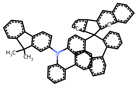 CC1(C)c2ccccc2-c2ccc(N(c3ccc4c(c3)-c3ccccc3-c3ccccc3C43c4ccccc4-c4cc5ccccc5cc43)c3ccccc3-c3ccccc3)cc21